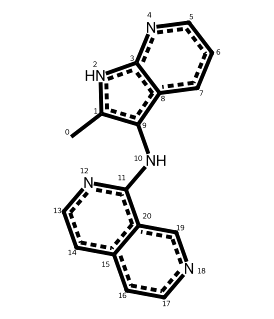 Cc1[nH]c2ncccc2c1Nc1nccc2ccncc12